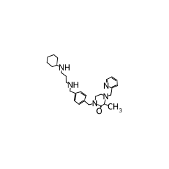 C[C@H]1C(=O)N(Cc2ccc(CNCCCNC3CCCCC3)cc2)CCN1Cc1ccccn1